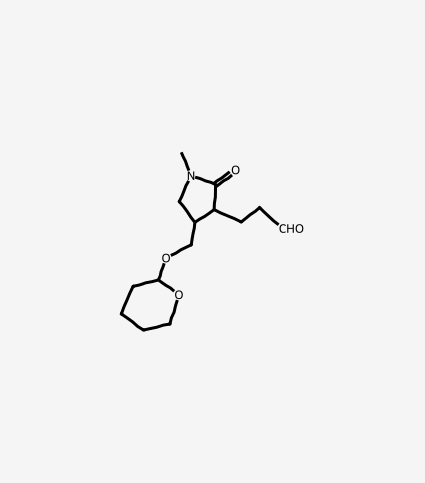 CN1CC(COC2CCCCO2)C(CCC=O)C1=O